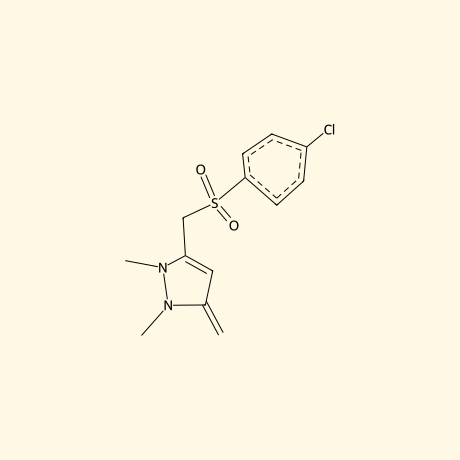 C=C1C=C(CS(=O)(=O)c2ccc(Cl)cc2)N(C)N1C